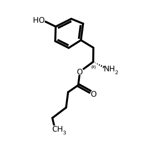 CCCCC(=O)O[C@@H](N)Cc1ccc(O)cc1